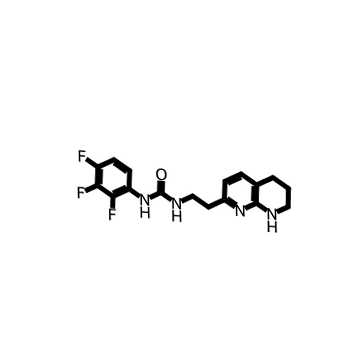 O=C(NCCc1ccc2c(n1)NCCC2)Nc1ccc(F)c(F)c1F